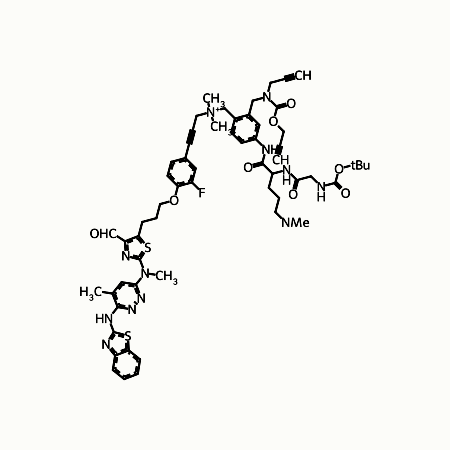 C#CCOC(=O)N(CC#C)Cc1cc(NC(=O)C(CCCNC)NC(=O)CNC(=O)OC(C)(C)C)ccc1C[N+](C)(C)CC#Cc1ccc(OCCCc2sc(N(C)c3cc(C)c(Nc4nc5ccccc5s4)nn3)nc2C=O)c(F)c1